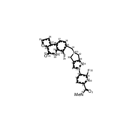 CNC(=O)c1ccc(-n2cc3c(n2)CN(Cc2ccc4c([nH]c(=O)c5occc54)c2F)C3)c(F)n1